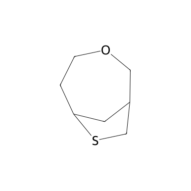 C1CC2CC(CO1)CS2